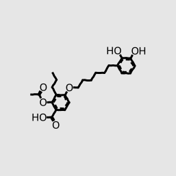 CCCc1c(OCCCCCCc2cccc(O)c2O)ccc(C(=O)O)c1OC(C)=O